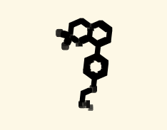 CCOc1ccc(C2=CC=CN3CCS(=O)(=O)N=C23)cc1